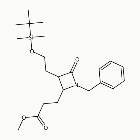 COC(=O)CCC1C(CCO[Si](C)(C)C(C)(C)C)C(=O)N1Cc1ccccc1